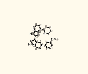 COc1cncc(-c2cc3c(-c4nc5c(N6CCCCC6)ccnc5[nH]4)n[nH]c3cn2)c1